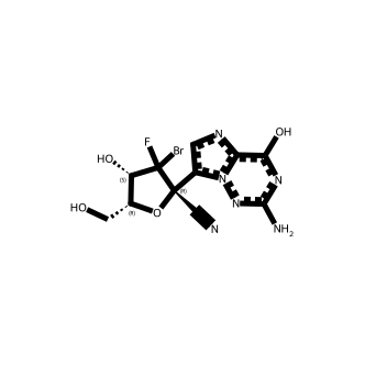 N#C[C@@]1(c2cnc3c(O)nc(N)nn23)O[C@H](CO)[C@H](O)C1(F)Br